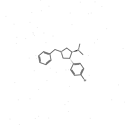 CN(C)[C@@H]1CN(Cc2ccccc2)C[C@H]1c1ccc(Br)cc1